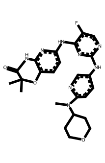 CN(c1ccc(Nc2ncc(F)c(Nc3ccc4c(n3)NC(=O)C(C)(C)O4)n2)cn1)C1CCOCC1